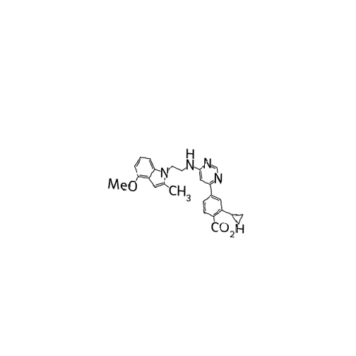 COc1cccc2c1cc(C)n2CCNc1cc(-c2ccc(C(=O)O)c(C3CC3)c2)ncn1